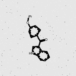 CC(C)Oc1ccc(C(=O)c2c[nH]c3ccccc23)cc1